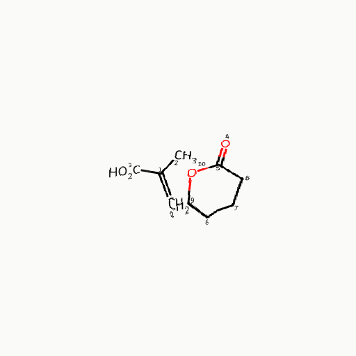 C=C(C)C(=O)O.O=C1CCCCO1